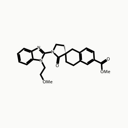 COCCn1c(N2CC[C@]3(CCc4cc(C(=O)OC)ccc4C3)C2=O)nc2ccccc21